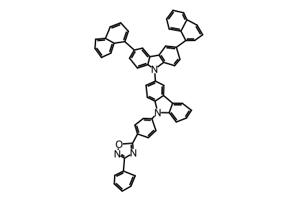 c1ccc(-c2noc(-c3ccc(-n4c5ccccc5c5cc(-n6c7ccc(-c8cccc9ccccc89)cc7c7cc(-c8cccc9ccccc89)ccc76)ccc54)cc3)n2)cc1